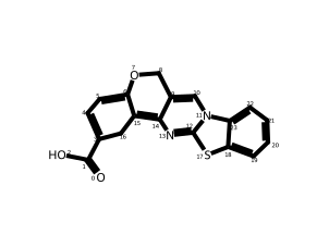 O=C(O)C1=CC=C2OCC3=CN4C(=NC3=C2C1)Sc1ccccc14